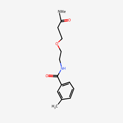 CNC(=O)CCOCCNC(=O)c1cccc(C)c1